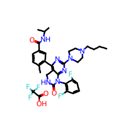 CCCCN1CCN(c2nc(-c3cc(C(=O)NC(C)C)ccc3C)c3c(n2)N(c2c(F)cccc2F)C(=O)NC3)CC1.O=C(O)C(F)(F)F